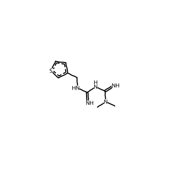 CN(C)C(=N)NC(=N)NCc1ccsc1